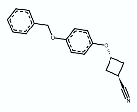 N#C[C@H]1C[C@H](Oc2ccc(OCc3ccccc3)cc2)C1